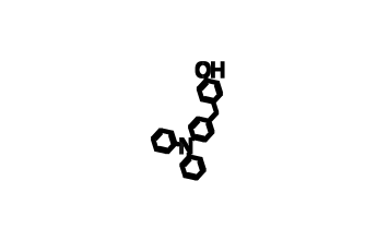 Oc1ccc(Cc2ccc(N(c3ccccc3)c3ccccc3)cc2)cc1